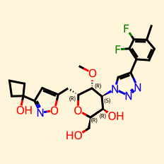 CO[C@@H]1[C@@H](n2cc(-c3ccc(C)c(F)c3F)nn2)[C@@H](O)[C@@H](CO)O[C@@H]1Cc1cc(C2(O)CCC2)no1